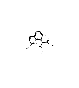 COC(=O)C(C(=O)OC)c1c(F)ccc2ccc(OC)nc12